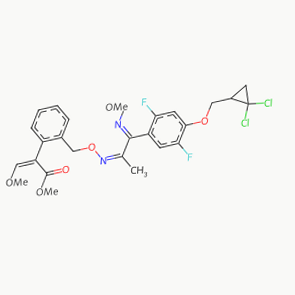 COC=C(C(=O)OC)c1ccccc1CON=C(C)C(=NOC)c1cc(F)c(OCC2CC2(Cl)Cl)cc1F